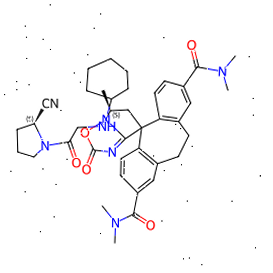 C[C@@H](CC1(c2nc(=O)on2C2CCCCC2)c2ccc(C(=O)N(C)C)cc2CCc2cc(C(=O)N(C)C)ccc21)NCC(=O)N1CCC[C@H]1C#N